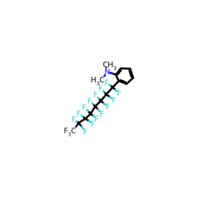 CN(C)c1ccccc1C(F)(F)C(F)(F)C(F)(F)C(F)(F)C(F)(F)C(F)(F)C(F)(F)C(F)(F)F